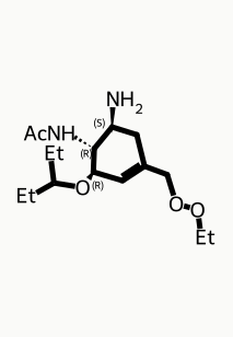 CCOOCC1=C[C@@H](OC(CC)CC)[C@H](NC(C)=O)[C@@H](N)C1